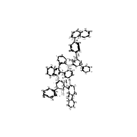 C1=C(N2c3ccccc3-c3c(n(C4=CC(c5ccccc5)NC(c5cccc6c5oc5ccccc56)N4)c4ccccc34)-c3ccccc32)NC(c2ccc(-c3cccc4ccccc34)cc2)N=C1c1ccccc1